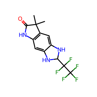 CC1(C)C(=O)Nc2cc3c(cc21)NC(C(F)(F)C(F)(F)F)N3